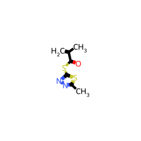 C=C(C)C(=O)Sc1nnc(C)s1